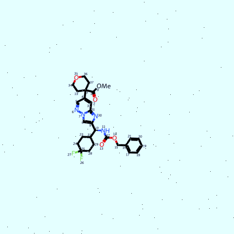 COC(=O)C1(c2cnn3cc([C@@H](NC(=O)OCc4ccccc4)C4CCC(F)(F)CC4)nc3c2)CCOCC1